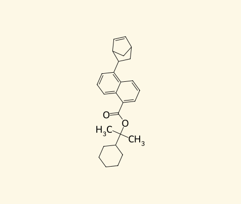 CC(C)(OC(=O)c1cccc2c(C3CC4C=CC3C4)cccc12)C1CCCCC1